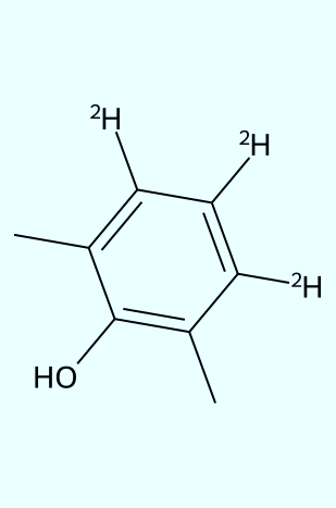 [2H]c1c([2H])c(C)c(O)c(C)c1[2H]